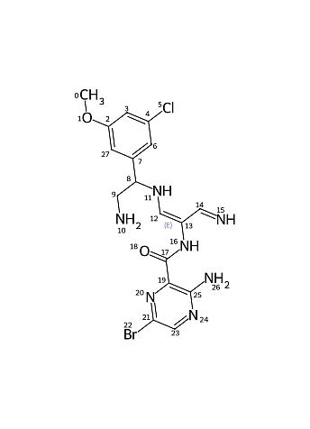 COc1cc(Cl)cc(C(CN)N/C=C(\C=N)NC(=O)c2nc(Br)cnc2N)c1